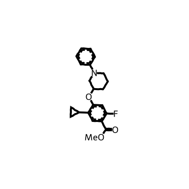 COC(=O)c1cc(C2CC2)c(OC2CCCN(c3ccccc3)C2)cc1F